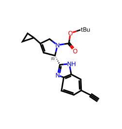 C#Cc1ccc2nc([C@@H]3C=C(C4CC4)CN3C(=O)OC(C)(C)C)[nH]c2c1